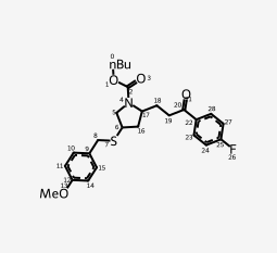 CCCCOC(=O)N1CC(SCc2ccc(OC)cc2)CC1CCC(=O)c1ccc(F)cc1